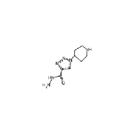 NNC(=O)c1cn(C2CCNCC2)nn1